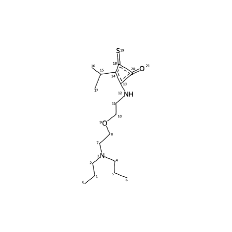 CCCN(CCC)CCOCCNc1c(C(C)C)c(=S)c1=O